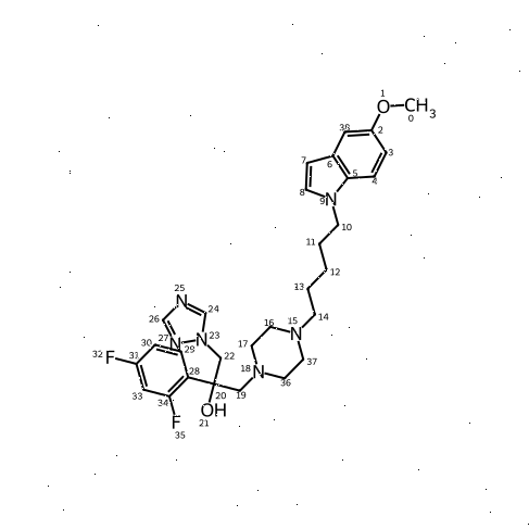 COc1ccc2c(ccn2CCCCCN2CCN(CC(O)(Cn3cncn3)c3ccc(F)cc3F)CC2)c1